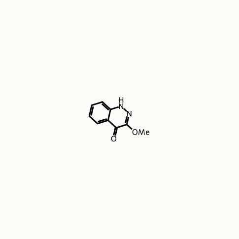 COc1n[nH]c2ccccc2c1=O